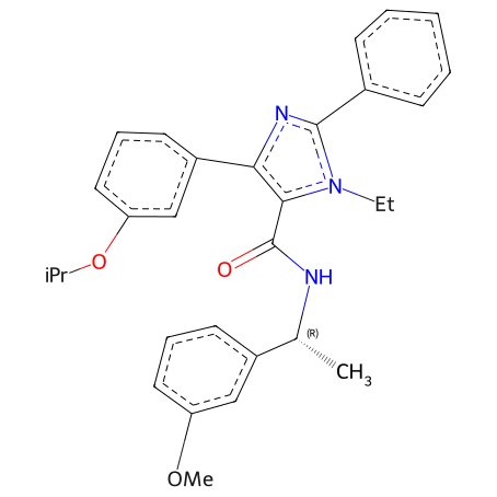 CCn1c(-c2ccccc2)nc(-c2cccc(OC(C)C)c2)c1C(=O)N[C@H](C)c1cccc(OC)c1